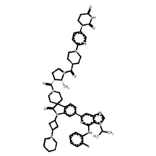 CC(C)n1cnc2cc(-c3ccc4c(c3)N(C3CC(N5CCCCC5)C3)C(=O)C43CCN(C(=O)[C@@H]4CCN(C(=O)C5CCN(c6ccc([C@H]7CCC(=O)NC7=O)cn6)CC5)[C@@H]4C)CC3)nc(Nc3ccccc3F)c21